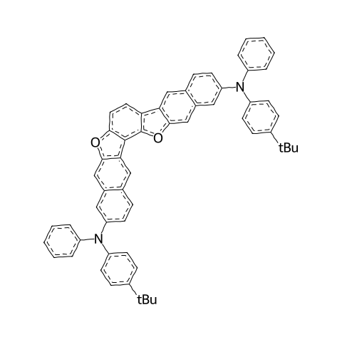 CC(C)(C)c1ccc(N(c2ccccc2)c2ccc3cc4c(cc3c2)oc2c4ccc3oc4cc5cc(N(c6ccccc6)c6ccc(C(C)(C)C)cc6)ccc5cc4c32)cc1